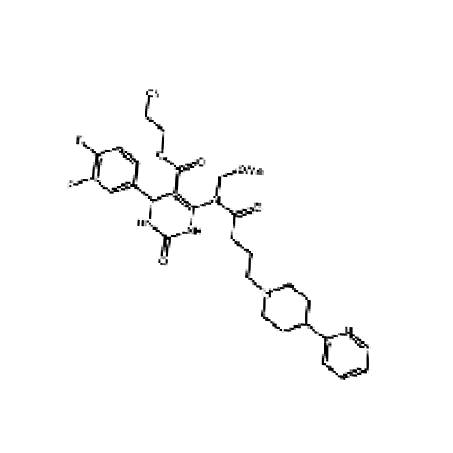 COCN(C(=O)CCCN1CCC(c2ccccn2)CC1)C1=C(C(=O)OCCC#N)C(c2ccc(F)c(F)c2)NC(=O)N1